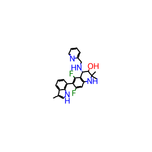 Cc1c[nH]c2c(-c3c(F)cc4c(c3F)[C@H](NCc3ccccn3)C(O)C(C)(C)N4)cccc12